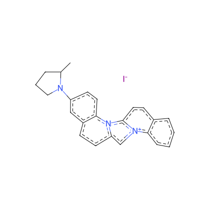 CC1CCCN1c1ccc2c(ccc3c[n+]4c5ccccc5ccc4n32)c1.[I-]